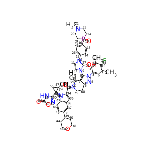 Cc1cc(-n2nc3c(c2N2C=CN(c4ccc(P5(=O)CCN(C)CC5)cc4)C2O)[C@H](C)N(C(=O)c2cc4cc(C5CCOCC5)ccc4n2[C@@]2(c4noc(=O)[nH]4)C[C@@H]2C)CC3)cc(C)c1F